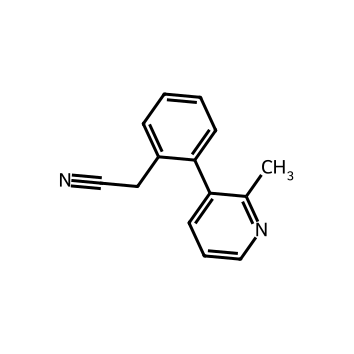 Cc1ncccc1-c1ccccc1CC#N